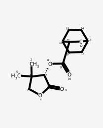 CC1(C)COC(=O)[C@H]1OC(=O)C1CC2CCC1CC2